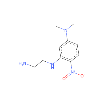 CN(C)c1ccc([N+](=O)[O-])c(NCCN)c1